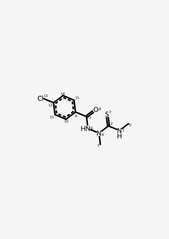 CNC(=S)N(C)NC(=O)c1ccc(Cl)cc1